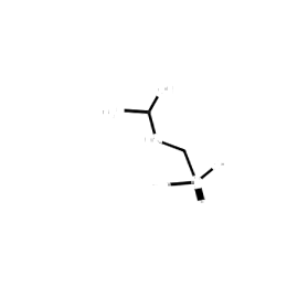 CC(O)NCP(=O)(O)O